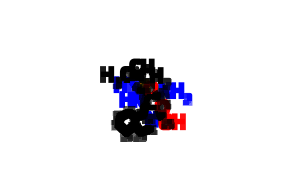 CC(C)(C)NC(=S)NC(CC(N)=O)C1C2CCCCC2CCN1C(=O)O